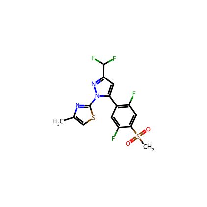 Cc1csc(-n2nc(C(F)F)cc2-c2cc(F)c(S(C)(=O)=O)cc2F)n1